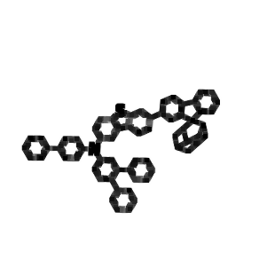 c1ccc(-c2ccc(N(c3ccc(-c4ccccc4)c(-c4ccccc4)c3)c3ccc4sc5cc(-c6ccc7c(c6)C6(c8ccccc8-7)C7CC8CC(C7)CC6C8)ccc5c4c3)cc2)cc1